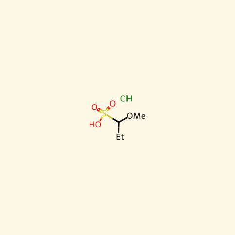 CCC(OC)S(=O)(=O)O.Cl